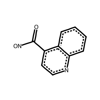 O=NC(=O)c1ccnc2ccccc12